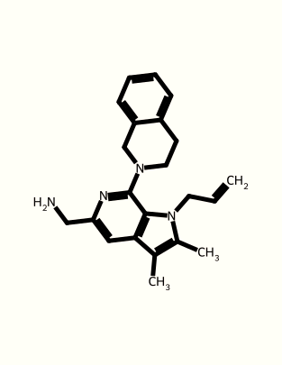 C=CCn1c(C)c(C)c2cc(CN)nc(N3CCc4ccccc4C3)c21